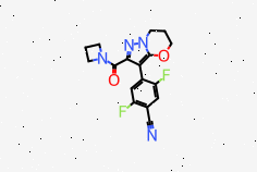 N#Cc1cc(F)c(-c2c(C(=O)N3CCC3)nn3c2OCCC3)cc1F